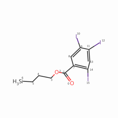 O=C(OCCC[SiH3])c1cc(I)c(I)cc1I